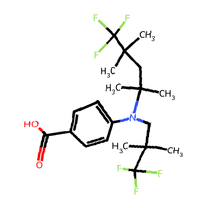 CC(C)(CC(C)(C)C(F)(F)F)N(CC(C)(C)C(F)(F)F)c1ccc(C(=O)O)cc1